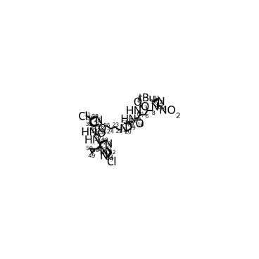 CC(C)(C)OC(=O)N[C@@H](CCCn1ccnc1[N+](=O)[O-])C(=O)N[C@@H]1CCN(CCCCOc2ncc(Cl)cc2NC(=O)Nc2cnc3cc(Cl)nn3c2C2CC2)C1